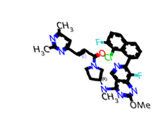 COc1nc(N(C)[C@@H]2CCN(C(=O)/C=C/c3cc(C)nc(C)n3)C2)c2cnc(-c3cccc4ccc(F)c(Cl)c34)c(F)c2n1